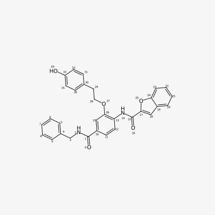 O=C(NCc1ccccc1)c1ccc(NC(=O)c2cc3ccccc3o2)c(OCCc2ccc(O)cc2)c1